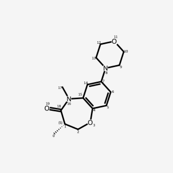 C[C@H]1COc2ccc(N3CCOCC3)cc2N(C)C1=O